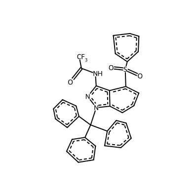 O=C(Nc1nn(C(c2ccccc2)(c2ccccc2)c2ccccc2)c2cccc(S(=O)(=O)c3ccccc3)c12)C(F)(F)F